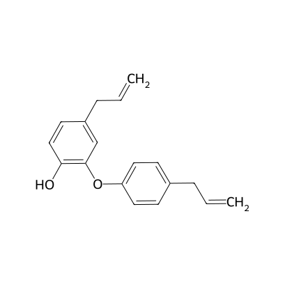 C=CCc1ccc(Oc2cc(CC=C)ccc2O)cc1